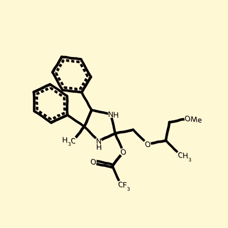 COCC(C)OCC1(OC(=O)C(F)(F)F)NC(c2ccccc2)C(C)(c2ccccc2)N1